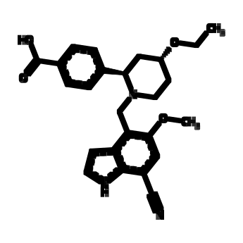 CCO[C@@H]1CCN(Cc2c(OC)cc(C#N)c3[nH]ccc23)[C@@H](c2ccc(C(=O)O)cc2)C1